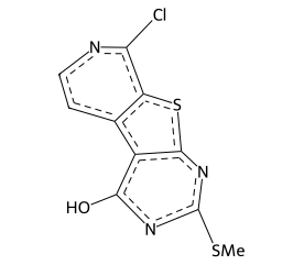 CSc1nc(O)c2c(n1)sc1c(Cl)nccc12